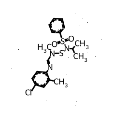 Cc1cc(Cl)ccc1N=CN(C)SN(C(C)C)S(=O)(=O)c1ccccc1